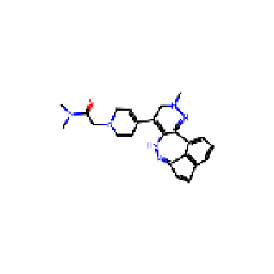 CN1CC(C2=CCN(CC(=O)N(C)C)CC2)=C2NN=C3C=Cc4cccc(c43)C2=N1